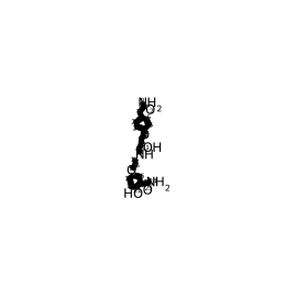 NC(=O)Cc1ccc(OCC(O)CNCCOc2ccc(O)c(C(N)=O)c2)cc1